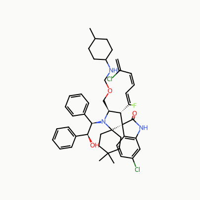 C=C(Cl)/C=C\C=C(/F)[C@H]1[C@H](COCNC2CCC(C)CC2)N([C@H](c2ccccc2)[C@@H](O)c2ccccc2)C2(CCC(C)(C)CC2)[C@@]12C(=O)Nc1cc(Cl)ccc12